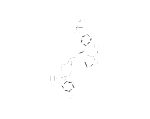 CC(C)(C=O)Oc1ccc2c(c1)/C(=C/CCN1CCC(O)(c3ccc(Cl)cc3)CC1)C1C=CC=NC1CO2